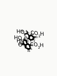 Cc1ccc(C(=O)O)c(C(C)CO)c1C(=O)O.O=C(O)c1cccc2c(=O)[nH]ccc12